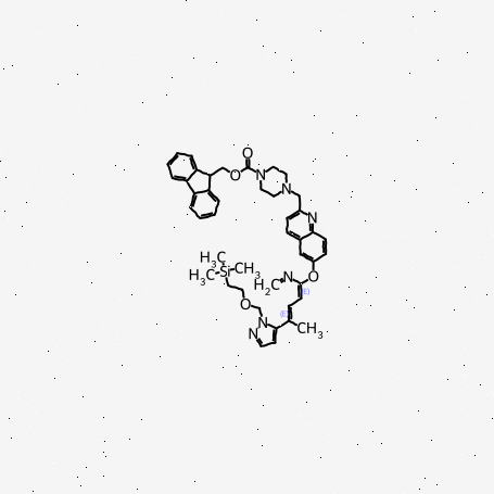 C=N/C(=C\C=C(/C)c1ccnn1COCC[Si](C)(C)C)Oc1ccc2nc(CN3CCN(C(=O)OCC4c5ccccc5-c5ccccc54)CC3)ccc2c1